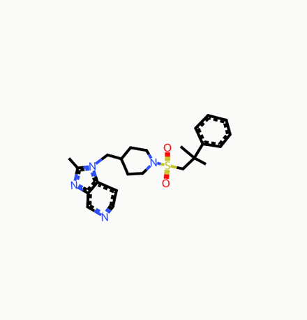 Cc1nc2cnccc2n1CC1CCN(S(=O)(=O)CC(C)(C)c2ccccc2)CC1